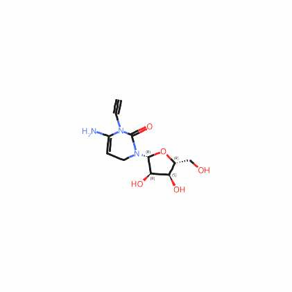 C#CN1C(=O)N([C@@H]2O[C@H](CO)[C@@H](O)[C@H]2O)CC=C1N